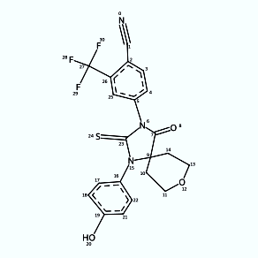 N#Cc1ccc(N2C(=O)C3(CCOCC3)N(c3ccc(O)cc3)C2=S)cc1C(F)(F)F